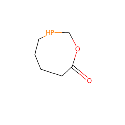 O=C1CCCCPCO1